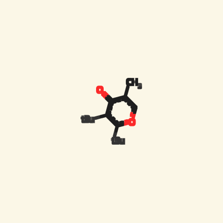 Cc1coc(C(C)(C)C)c(C(C)(C)C)c1=O